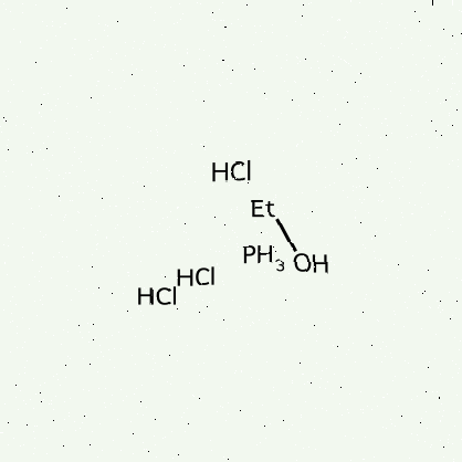 CCO.Cl.Cl.Cl.P